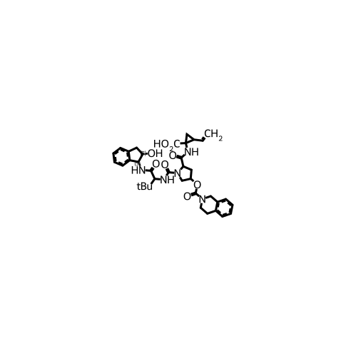 C=CC1CC1(NC(=O)C1CC(OC(=O)N2CCc3ccccc3C2)CN1C(=O)NC(C(=O)N[C@H]1c2ccccc2C[C@H]1O)C(C)(C)C)C(=O)O